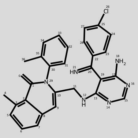 C=C1c2c(C)cccc2C=C(CNc2ncnc(N)c2C(=N)c2ccc(Cl)cc2)N1c1ccccc1C